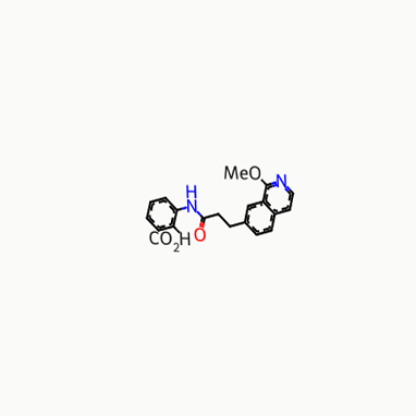 COc1nccc2ccc(CCC(=O)Nc3ccccc3C(=O)O)cc12